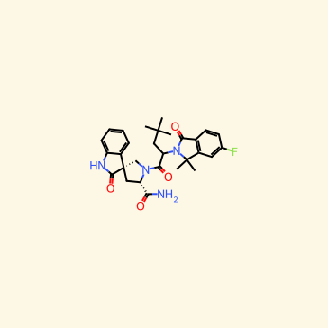 CC(C)(C)CC(C(=O)N1C[C@]2(C[C@H]1C(N)=O)C(=O)Nc1ccccc12)N1C(=O)c2ccc(F)cc2C1(C)C